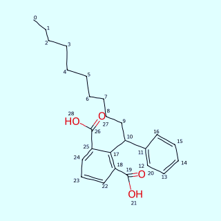 CCCCCCCCCCC(c1ccccc1)c1c(C(=O)O)cccc1C(=O)O